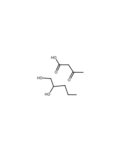 CC(=O)CC(=O)O.CCCC(O)CO